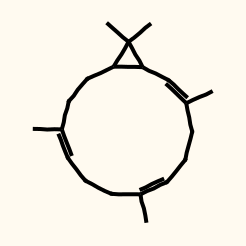 CC1=CCCC(C)=CC2C(CCC(C)=CCC1)C2(C)C